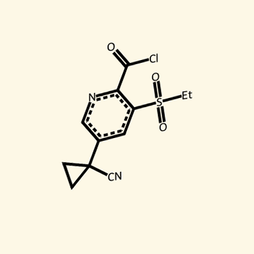 CCS(=O)(=O)c1cc(C2(C#N)CC2)cnc1C(=O)Cl